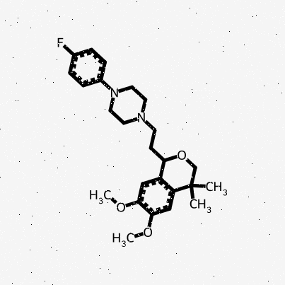 COc1cc2c(cc1OC)C(C)(C)COC2CCN1CCN(c2ccc(F)cc2)CC1